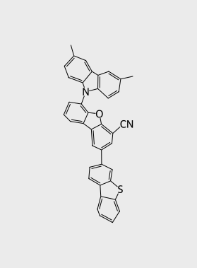 Cc1ccc2c(c1)c1cc(C)ccc1n2-c1cccc2c1oc1c(C#N)cc(-c3ccc4c(c3)sc3ccccc34)cc12